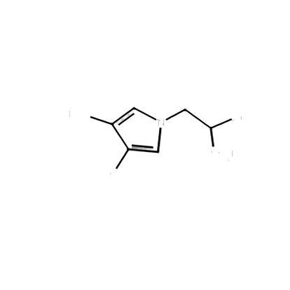 CCC(Cn1cc(C)c(C)c1)C(=O)O